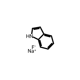 [F-].[Na+].c1ccc2[nH]ccc2c1